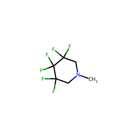 CN1CC(F)(F)C(F)(F)C(F)(F)C1